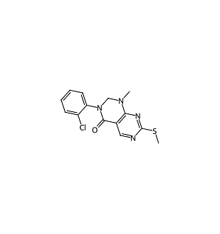 CSc1ncc2c(n1)N(C)CN(c1ccccc1Cl)C2=O